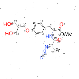 COC(=O)C(Cc1ccc(OCC(CO)CO)cc1)NC(=O)[C@@H](N=[N+]=[N-])C(C)C